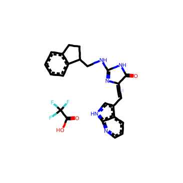 O=C(O)C(F)(F)F.O=C1NC(NCC2CCc3ccccc32)=N/C1=C\c1c[nH]c2ncccc12